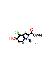 COC(=O)c1cc2c(Cl)c(O)ccc2n1C